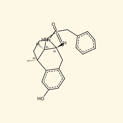 CN1CC[C@]2(C)c3cc(O)ccc3C[C@@H]1[C@@H]2NS(=O)(=O)Cc1ccccc1